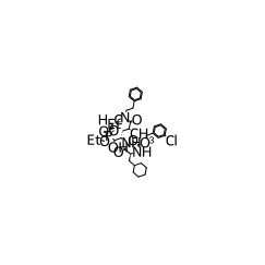 CCOP(=O)(OCC)C(O)[C@H](CC(C)C(=O)N(C)CCc1ccccc1)NC(=O)[C@H](CC1CCCCC1)NC(=O)OCc1cccc(Cl)c1